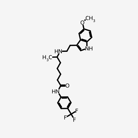 COc1ccc2[nH]cc(CCNC(C)CCCCC(=O)Nc3ccc(C(F)(F)F)cc3)c2c1